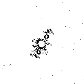 CO[C@]1(C)C[C@@H](C)CN(C)[C@H](CN2CCN(C(=O)N(C)C)CC2)COC(=O)C(C)(C)C(=O)[C@H](C)[C@H]1O[C@@H]1O[C@H](C)C[C@H](N(C)C)[C@H]1O